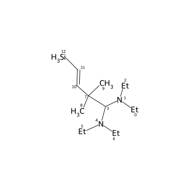 CCN(CC)C(N(CC)CC)C(C)(C)C=C[SiH3]